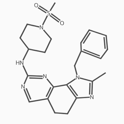 Cc1nc2c(n1Cc1ccccc1)-c1nc(NC3CCN(S(C)(=O)=O)CC3)ncc1CC2